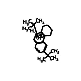 CC(C)(C)c1ccc2c(c1)C13CCCC[C@H]1[C@H](C2)N(C(C)(C)C)CC3